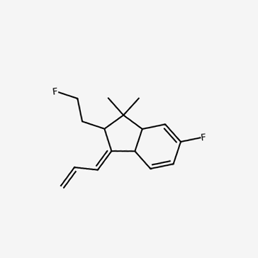 C=C/C=C1/C2C=CC(F)=CC2C(C)(C)C1CCF